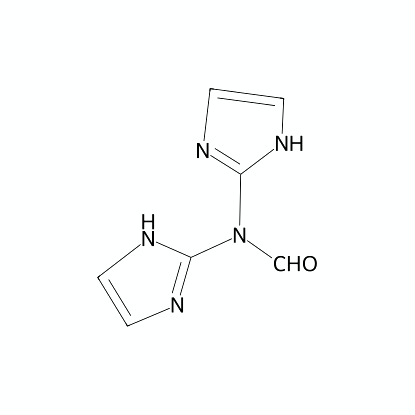 O=CN(c1ncc[nH]1)c1ncc[nH]1